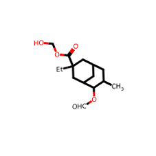 CCC1(C(=O)OCO)CC2CC(C)C(OC=O)C(C2)C1